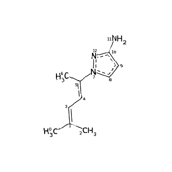 CC(C)=C/C=C(\C)n1ccc(N)n1